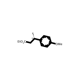 CCOC(=O)C[C@H](C)c1ccc(OC)cc1